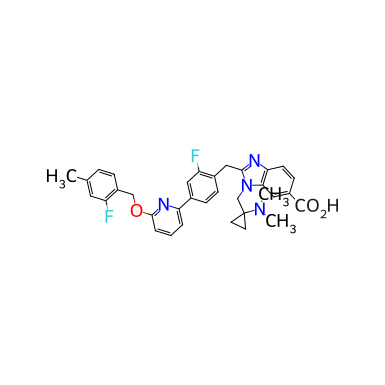 Cc1ccc(COc2cccc(-c3ccc(Cc4nc5ccc(C(=O)O)cc5n4CC4(N(C)C)CC4)c(F)c3)n2)c(F)c1